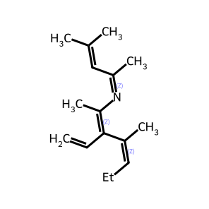 C=CC(/C(C)=C\CC)=C(C)/N=C(/C)C=C(C)C